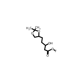 CC1(C)OCC(CCC(O)CC(=O)OF)O1